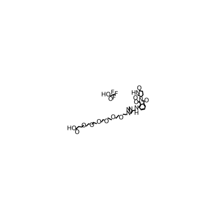 O=C(O)C(F)(F)F.O=C(O)CCOCCOCCOCCOCCOCCOCCn1cc(CNc2cccc3c2C(=O)N(C2CCC(=O)NC2=O)C3=O)nn1